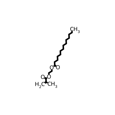 C=C(C)C(=O)OCCOC(=O)CCCCCCCCCCCCC